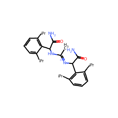 C/C(=N\C(C(N)=O)c1c(C(C)C)cccc1C(C)C)NC(C(N)=O)c1c(C(C)C)cccc1C(C)C